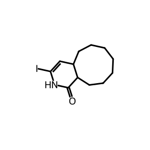 O=C1NC(I)=CC2CCCCCCCC12